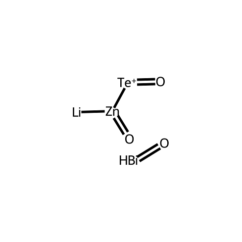 [Li][Zn](=[O])[Te+]=O.[O]=[BiH]